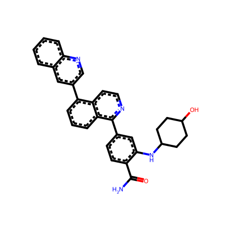 NC(=O)c1ccc(-c2nccc3c(-c4cnc5ccccc5c4)cccc23)cc1NC1CCC(O)CC1